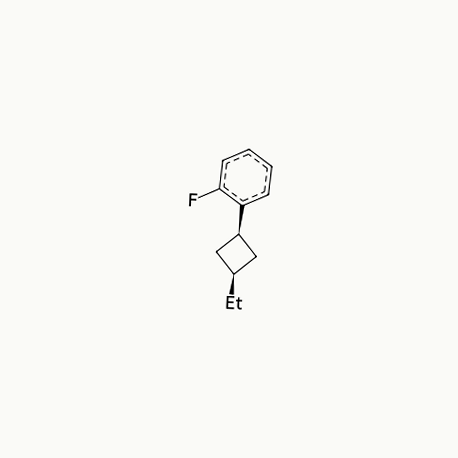 CC[C@H]1C[C@@H](c2ccccc2F)C1